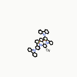 N#Cc1cc(-n2c3ccccc3c3cc(-n4c5ccccc5c5ccccc54)ccc32)c(-c2c(F)cccc2F)c(-n2c3ccccc3c3cc(-n4c5ccccc5c5ccccc54)ccc32)c1